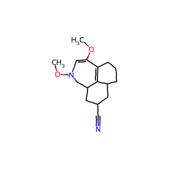 COC1=CN(OC)CC2CC(C#N)CC3CCCC1=C32